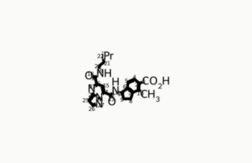 Cc1c(C(=O)O)ccc2c1CC[C@@H]2NC(=O)c1cc(C(=O)NCCC(C)C)nc2ccnn12